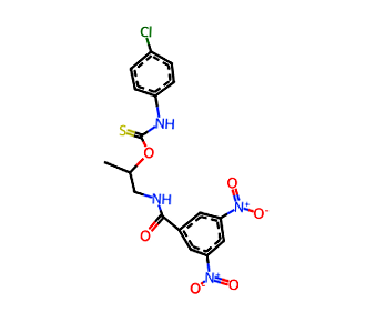 CC(CNC(=O)c1cc([N+](=O)[O-])cc([N+](=O)[O-])c1)OC(=S)Nc1ccc(Cl)cc1